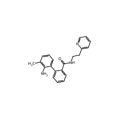 Cc1cccc(-c2ccccc2C(=O)NCCc2ccccn2)c1N